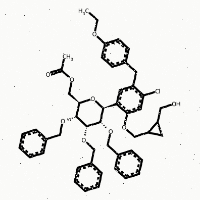 CCOc1ccc(Cc2cc([C@@H]3O[C@H](COC(C)=O)[C@@H](OCc4ccccc4)[C@@H](OCc4ccccc4)[C@H]3OCc3ccccc3)c(OCC3CC3CO)cc2Cl)cc1